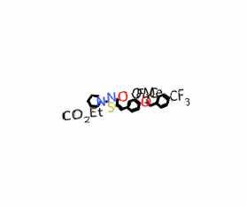 CCOC(=O)C1CCCCN1C1=NC(=O)/C(=C\c2ccc(OCc3ccc(C(F)(F)F)cc3C(F)(F)F)c(OC)c2)S1